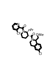 CCC[C@@H]1[C@H](C(=O)N2CCc3cc(Cl)ccc3C2COC)CCCN1C(=O)c1ncccc1C(F)(F)F